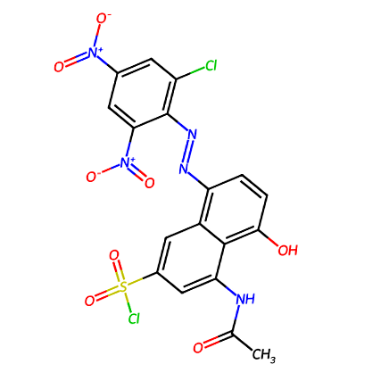 CC(=O)Nc1cc(S(=O)(=O)Cl)cc2c(N=Nc3c(Cl)cc([N+](=O)[O-])cc3[N+](=O)[O-])ccc(O)c12